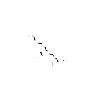 C=CC(=O)O.COC(O)COCCOCCOCCOCCO